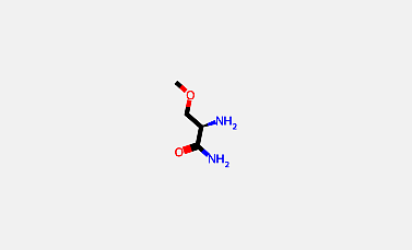 COC[C@@H](N)C(N)=O